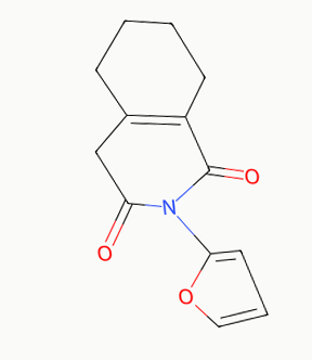 O=C1CC2=C(CCCC2)C(=O)N1c1ccco1